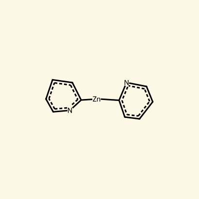 c1cc[c]([Zn][c]2ccccn2)nc1